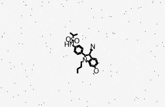 CCCCN1c2cc(OC)ccc2C(C#N)C1c1ccc(NS(=O)(=O)C(C)C)cc1